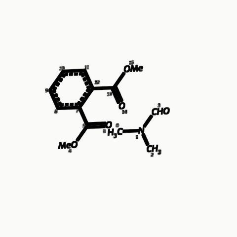 CN(C)C=O.COC(=O)c1ccccc1C(=O)OC